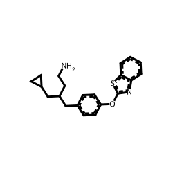 NCCC(Cc1ccc(Oc2nc3ccccc3s2)cc1)CC1CC1